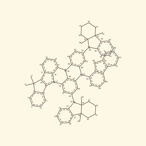 CC1(C)c2ccccc2-c2c1c1cccc3c1n2-c1cc(N2c4ccccc4C4(C)CCCCC24C)cc2c1B3c1ccc(N3c4ccccc4C4(C)CCCCC34C)cc1N2c1cccc2c1oc1ccccc12